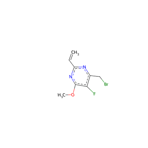 C=Cc1nc(CBr)c(F)c(OC)n1